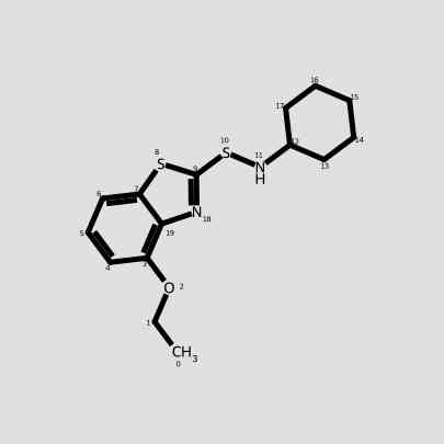 CCOc1cccc2sc(SNC3CCCCC3)nc12